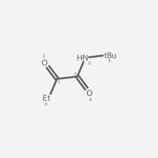 CCC(=O)C(=O)NC(C)(C)C